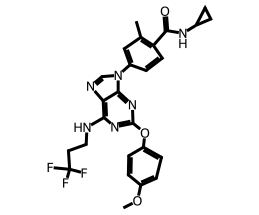 COc1ccc(Oc2nc(NCCC(F)(F)F)c3ncn(-c4ccc(C(=O)NC5CC5)c(C)c4)c3n2)cc1